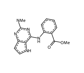 CNc1nc(Nc2ccccc2C(=O)OC)c2[nH]ccc2n1